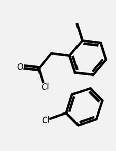 Cc1ccccc1CC(=O)Cl.Clc1ccccc1